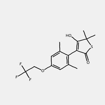 Cc1cc(OCC(F)(F)F)cc(C)c1C1=C(O)C(C)(C)SC1=O